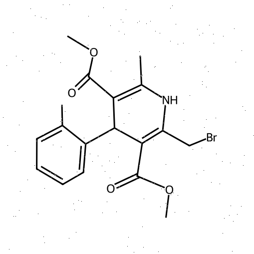 COC(=O)C1=C(C)NC(CBr)=C(C(=O)OC)C1c1ccccc1C